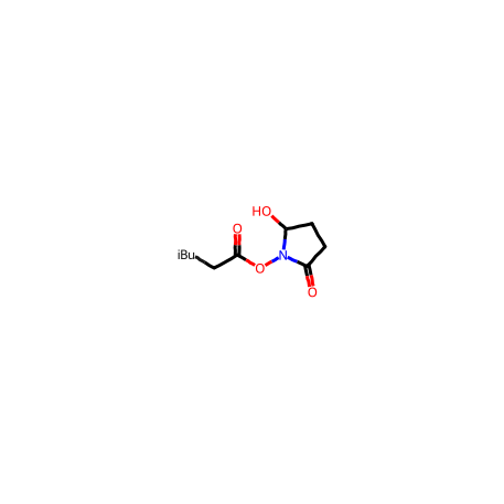 CCC(C)CC(=O)ON1C(=O)CCC1O